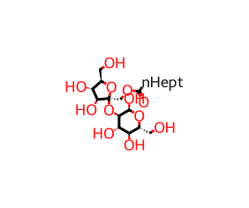 CCCCCCCC(=O)OC[C@@]1(O[C@@H]2[C@@H](O)[C@H](O)[C@@H](CO)O[C@@H]2O)O[C@H](CO)[C@@H](O)[C@@H]1O